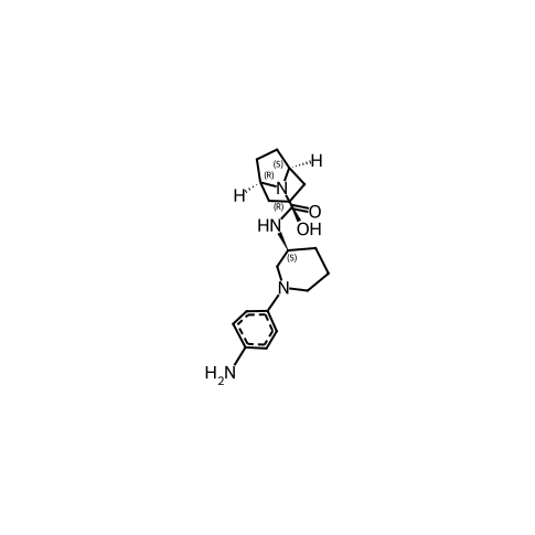 Nc1ccc(N2CCC[C@H](NC(=O)N3[C@@H]4CC[C@H]3C[C@@H](O)C4)C2)cc1